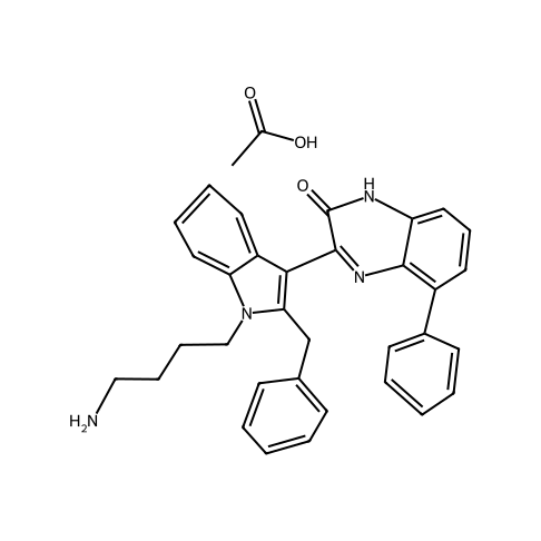 CC(=O)O.NCCCCn1c(Cc2ccccc2)c(-c2nc3c(-c4ccccc4)cccc3[nH]c2=O)c2ccccc21